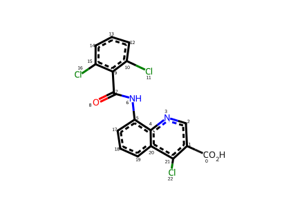 O=C(O)c1cnc2c(NC(=O)c3c(Cl)cccc3Cl)cccc2c1Cl